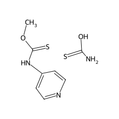 COC(=S)Nc1ccncc1.NC(O)=S